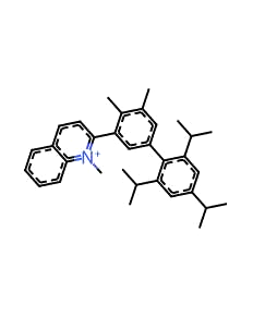 Cc1cc(-c2c(C(C)C)cc(C(C)C)cc2C(C)C)cc(-c2ccc3ccccc3[n+]2C)c1C